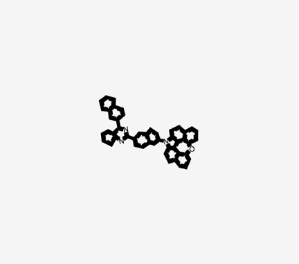 c1ccc2cc(-c3nc(-c4ccc5cc(-n6c7ccc8cccc9oc%10cccc%11ccc6c(c%11%10)c7c89)ccc5c4)nc4ccccc34)ccc2c1